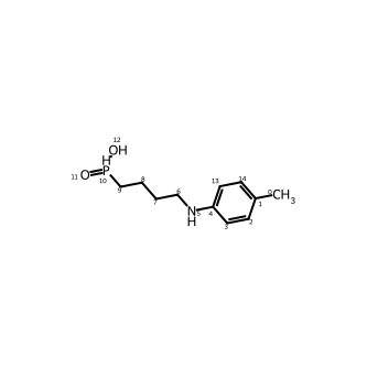 Cc1ccc(NCCCC[PH](=O)O)cc1